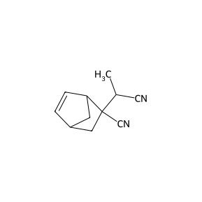 CC(C#N)C1(C#N)CC2C=CC1C2